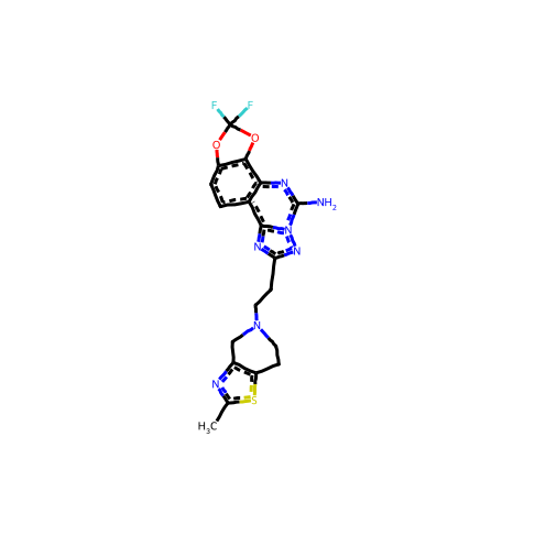 Cc1nc2c(s1)CCN(CCc1nc3c4ccc5c(c4nc(N)n3n1)OC(F)(F)O5)C2